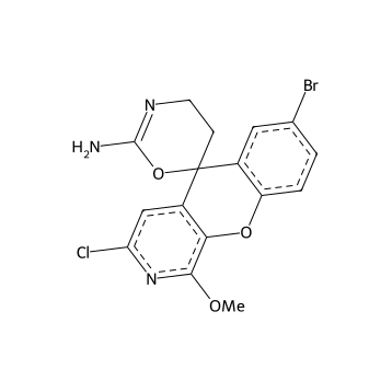 COc1nc(Cl)cc2c1Oc1ccc(Br)cc1C21CCN=C(N)O1